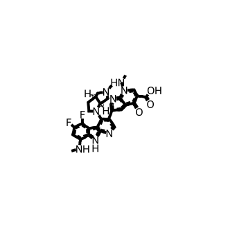 CNc1cc(F)c(F)c2c1[nH]c1ncc(-c3cnc4c(c3)c(=O)c(C(=O)O)cn4NC)c(N3CC[C@H]4CN(C)C[C@H]43)c12